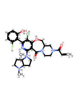 C=CC(=O)N1CCN2C(=O)c3c(N4CCC5N(C)CC[C@]54C)nc(-c4c(O)cccc4F)c(Cl)c3OCC2C1